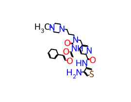 CN1CCN(CCCN(Cc2ccc(C(=O)Nc3cscc3N)nc2)C(=O)NC2=COC=C(C3=CC=CCC3)O2)CC1